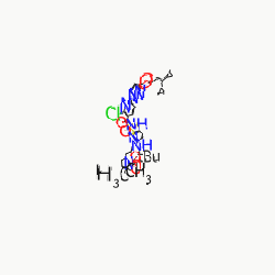 CC(C)(C)OC(=O)N1C(CCCNc2cccc([S+]([O-])NC(=O)c3ccc(-n4ccc(OCCC(C5CC5)C5CC5)n4)nc3Cl)n2)CCC1(C)C